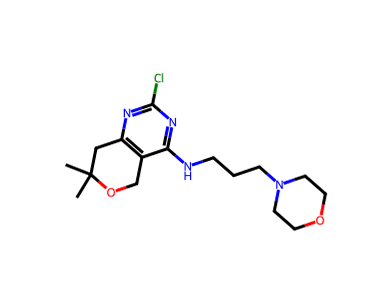 CC1(C)Cc2nc(Cl)nc(NCCCN3CCOCC3)c2CO1